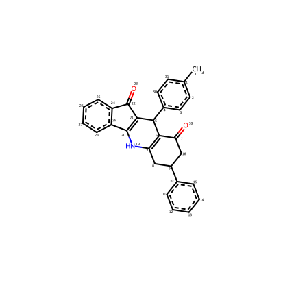 Cc1ccc(C2C3=C(CC(c4ccccc4)CC3=O)NC3=C2C(=O)c2ccccc23)cc1